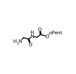 CCCCCOC(=O)CNC(=O)CN